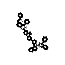 CC1(C)c2cc(-c3ccc4c(c3)c3c5ccccc5ccc3n4-c3nc(-c4ccccc4)c4ccccc4n3)ccc2-c2ccc(-c3nc(-c4ccccc4)c4c(ccc5cc(-c6ccccc6)sc54)n3)cc21